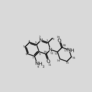 Cc1nc2cccc(N)c2c(=O)n1C1CCCNC1=O